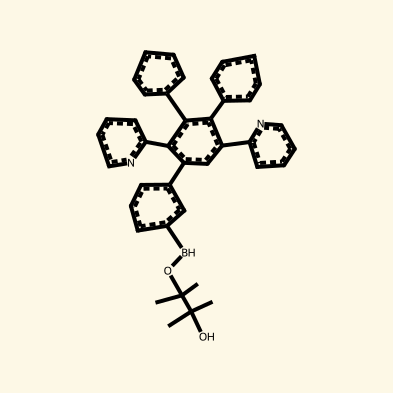 CC(C)(O)C(C)(C)OBc1cccc(-c2cc(-c3ccccn3)c(-c3ccccc3)c(-c3ccccc3)c2-c2ccccn2)c1